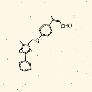 C/C(=C/C=O)c1ccc(OCc2nc(-c3ccccc3)oc2C)cc1